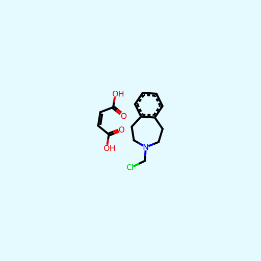 ClCN1CCc2ccccc2CC1.O=C(O)/C=C\C(=O)O